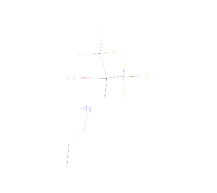 CCCNCC(O)(C(F)(F)F)C(F)(F)F